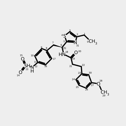 CCc1csc([C@H](Cc2ccc(N[SH](=O)=O)cc2)NC(=O)CCc2cccc(OC)c2)n1